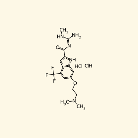 CNC(N)=NC(=O)c1cc2c(C(F)(F)F)cc(OCCN(C)C)cc2[nH]1.Cl.Cl